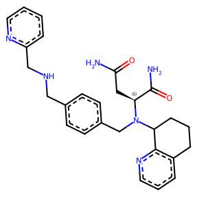 NC(=O)C[C@@H](C(N)=O)N(Cc1ccc(CNCc2ccccn2)cc1)C1CCCc2cccnc21